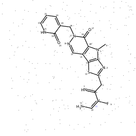 Cn1c2nc(CC(=N)/C(F)=C\N)sc2c2cnn(Cc3ccc[nH]c3=O)c(=O)c21